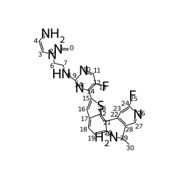 C=NN(/C=C\N)CCNc1ncc(F)c(-c2cc3cccc(-c4cc(F)ncc4C(C)N)c3s2)n1